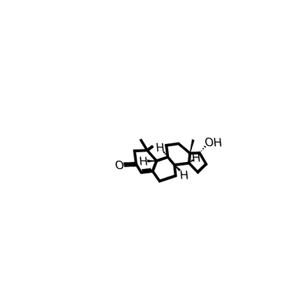 CC1(C)CC(=O)C=C2CC[C@@H]3[C@H](CC[C@]4(C)[C@H](O)CC[C@@H]34)[C@H]21